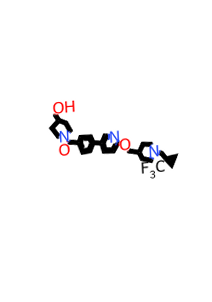 O=C(c1ccc(-c2ccc(OCC3CCN(CC4(C(F)(F)F)CC4)CC3)nc2)cc1)N1CCC(CO)CC1